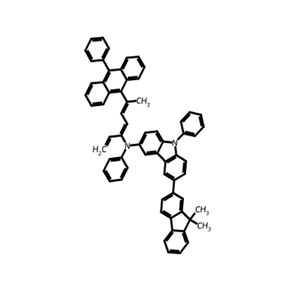 C=C/C(=C\C=C(/C)c1c2ccccc2c(-c2ccccc2)c2ccccc12)N(c1ccccc1)c1ccc2c(c1)c1cc(-c3ccc4c(c3)C(C)(C)c3ccccc3-4)ccc1n2-c1ccccc1